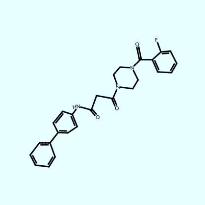 O=C(CC(=O)N1CCN(C(=O)c2ccccc2F)CC1)Nc1ccc(-c2ccccc2)cc1